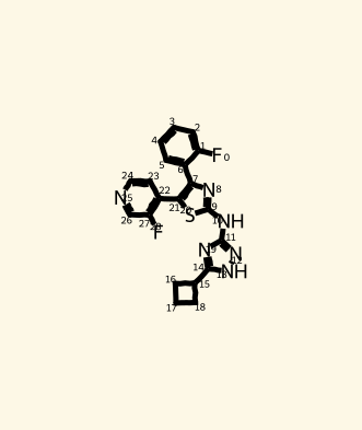 Fc1ccccc1-c1nc(Nc2n[nH]c(C3CCC3)n2)sc1-c1ccncc1F